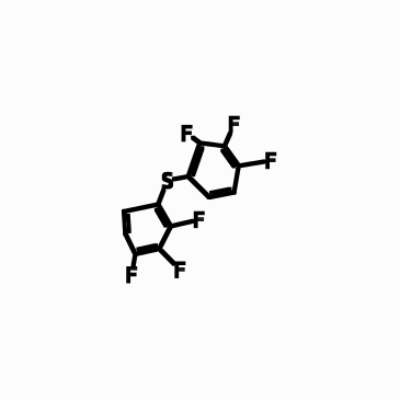 Fc1ccc(Sc2ccc(F)c(F)c2F)c(F)c1F